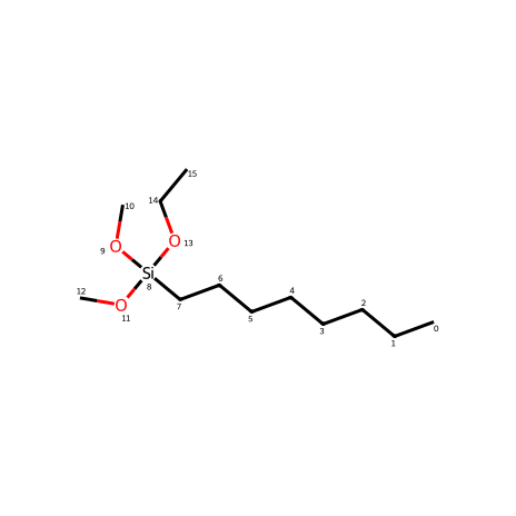 CCCCCCCC[Si](OC)(OC)OCC